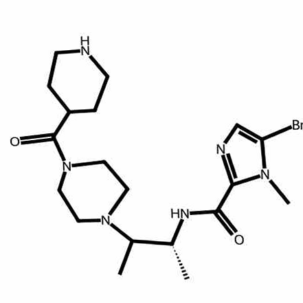 CC([C@@H](C)NC(=O)c1ncc(Br)n1C)N1CCN(C(=O)C2CCNCC2)CC1